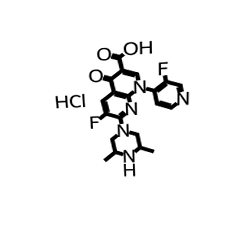 CC1CN(c2nc3c(cc2F)c(=O)c(C(=O)O)cn3-c2ccncc2F)CC(C)N1.Cl